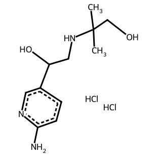 CC(C)(CO)NCC(O)c1ccc(N)nc1.Cl.Cl